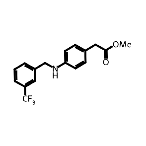 COC(=O)Cc1ccc(NCc2cccc(C(F)(F)F)c2)cc1